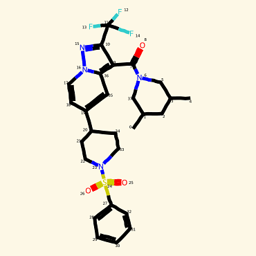 CC1CC(C)CN(C(=O)c2c(C(F)(F)F)nn3ccc(C4CCN(S(=O)(=O)c5ccccc5)CC4)cc23)C1